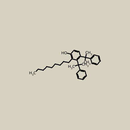 CCCCCCCCCc1c(O)ccc(C(C)(C)c2ccccc2)c1C(C)(C)c1ccccc1